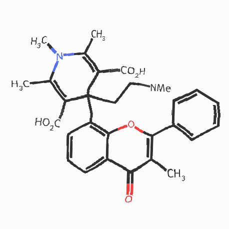 CNCCC1(c2cccc3c(=O)c(C)c(-c4ccccc4)oc23)C(C(=O)O)=C(C)N(C)C(C)=C1C(=O)O